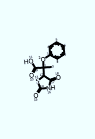 CC(Oc1ccccc1)(C(=O)O)C1SC(=O)NC1=O